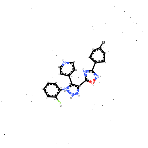 CCc1ccc(-c2noc(-c3nnn(-c4ccccc4F)c3-c3ccncc3)n2)cc1